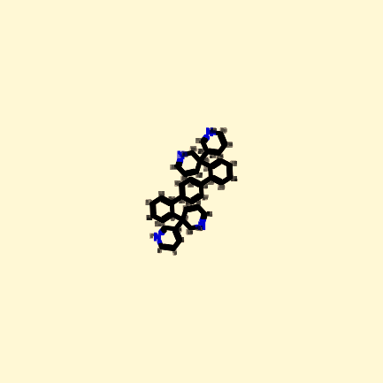 C1=CC(c2cccnc2)(c2ccccc2-c2ccc(-c3ccccc3C3(c4cccnc4)C=CC=NC3)cc2)CN=C1